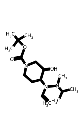 C=CN(C1CCN(C(=O)OC(C)(C)C)CC1O)N(C)C(C)C